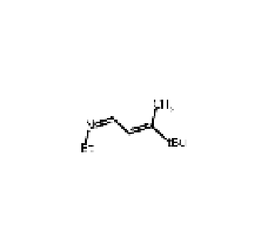 CC/N=C\C=C(/C)C(C)(C)C